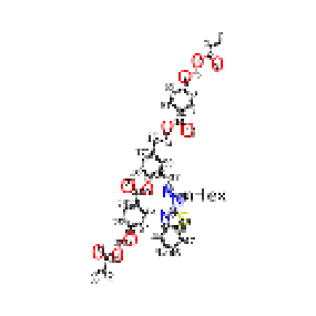 C=CC(=O)OCOc1ccc(C(=O)OCCc2ccc(OC(=O)c3ccc(OCOC(=O)C=C)cc3)c(/C=N/N(CCCCCC)c3nc4ccccc4s3)c2)cc1